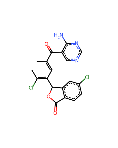 C/C(Cl)=C(\C=C(/C)C(=O)c1cncnc1N)C1OC(=O)c2ccc(Cl)cc21